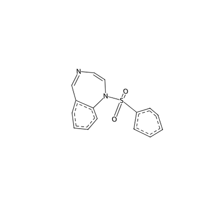 O=S(=O)(c1ccccc1)N1C=CN=Cc2ccccc21